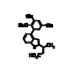 C/C(=C/C(=O)O)c1cc2c(-c3cc(C(C)(C)C)cc(C(C)(C)C)c3OCC(C)C)cccc2s1